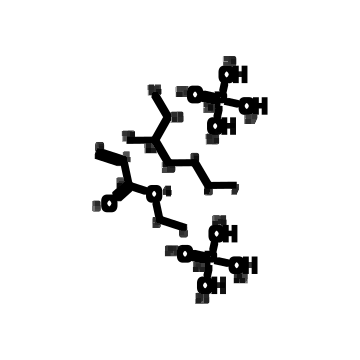 C=CC(=O)OCC.CCCCC(C)CC.O=P(O)(O)O.O=P(O)(O)O